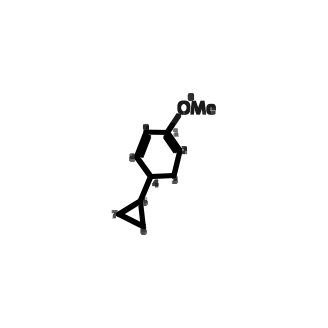 COC1=CCC(C2CC2)C=C1